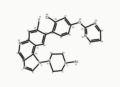 CC(=O)N1CCN(n2cnc3cnc4cc(F)c(-c5ccc(Oc6ncccn6)cc5Cl)cc4c32)CC1